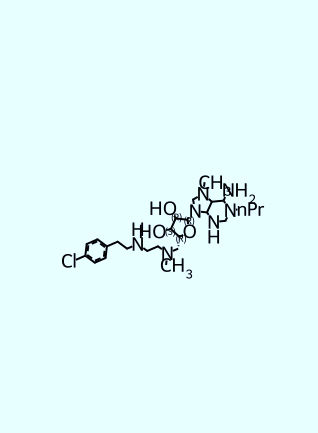 CCCN1CNC2C(C1N)N(C)CN2[C@@H]1O[C@H](CN(C)CCNCCc2ccc(Cl)cc2)[C@@H](O)[C@H]1O